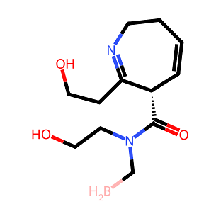 BCN(CCO)C(=O)[C@H]1C=CCCN=C1CCO